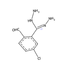 N/N=C(\NN)c1cc(Cl)ccc1C=O